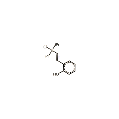 CC(C)[Si](Cl)(/C=C/c1ccccc1O)C(C)C